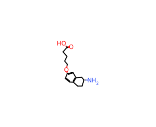 N[C@H]1CCc2ccc(OCCCCC(=O)O)cc2C1